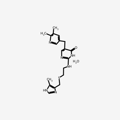 Cc1cc(Cc2cnc(NCCSCc3nc[nH]c3C)[nH]c2=O)cnc1C.O